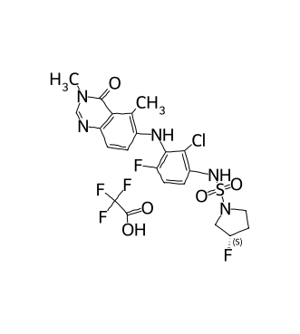 Cc1c(Nc2c(F)ccc(NS(=O)(=O)N3CC[C@H](F)C3)c2Cl)ccc2ncn(C)c(=O)c12.O=C(O)C(F)(F)F